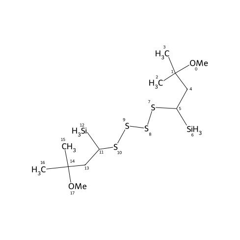 COC(C)(C)CC([SiH3])SSSSC([SiH3])CC(C)(C)OC